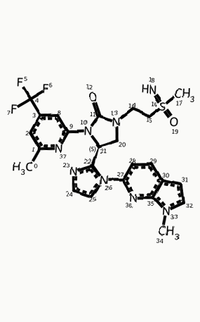 Cc1cc(C(F)(F)F)cc(N2C(=O)N(CCS(C)(=N)=O)C[C@H]2c2nccn2-c2ccc3ccn(C)c3n2)n1